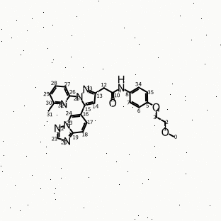 COCCOc1ccc(NC(=O)Cc2cc(-c3ccc4ncnn4c3)n(-c3cccc(C)n3)n2)cc1